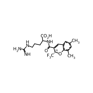 Cc1cc(C)c2c(c1)C=C(C(=O)NC(CCCNC(=N)N)C(=O)O)[C@@H](C(F)(F)F)O2